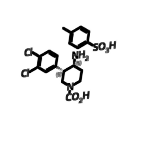 Cc1ccc(S(=O)(=O)O)cc1.N[C@H]1CCN(C(=O)O)C[C@@H]1c1ccc(Cl)c(Cl)c1